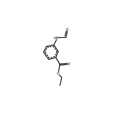 CCOC(=O)c1cccc(N[C]=O)c1